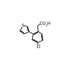 O=C(O)Cc1ccc(Cl)cc1-c1ccsc1